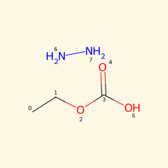 CCOC(=O)O.NN